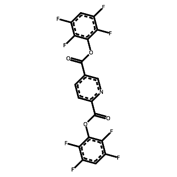 O=C(Oc1c(F)c(F)cc(F)c1F)c1ccc(C(=O)Oc2c(F)c(F)cc(F)c2F)nc1